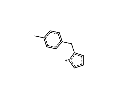 Cc1ccc(Cc2ccc[nH]2)cc1